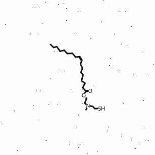 CCCCCCCC/C=C\CCCCCCCC(=O)OCCN(C)CCS